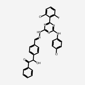 O=C(c1ccccc1)C(O)c1ccc(C=NNc2nc(Nc3ccc(Cl)cc3)nc(-c3c(F)cccc3Cl)n2)cc1